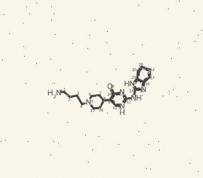 NCCCCN1CCC(c2c[nH]c(Nc3nc4ccccc4[nH]3)nc2=O)CC1